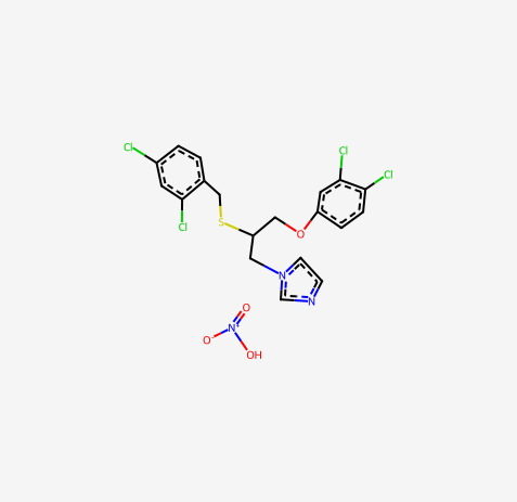 Clc1ccc(CSC(COc2ccc(Cl)c(Cl)c2)Cn2ccnc2)c(Cl)c1.O=[N+]([O-])O